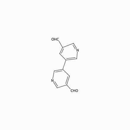 O=Cc1cncc(-c2cncc(C=O)c2)c1